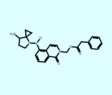 NC1CCN([S+]([O-])c2cccc3c(=O)n(COC(=O)Cc4ccccc4)ccc23)C12CC2